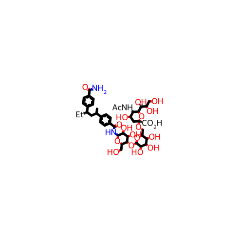 CCC(CC(C)c1ccc(C(=O)NC2OC(CO)C(OC3OC(COC4(C(=O)O)CC(O)C(NC(C)=O)C([C@H](O)C(O)CO)O4)C(O)C(O)C3O)C(O)C2O)cc1)c1ccc(C(N)=O)cc1